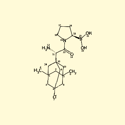 CC12CC3(C)CC(Cl)(C1)CC([C@H](N)C(=O)N1CCC[C@H]1B(O)O)(C2)C3